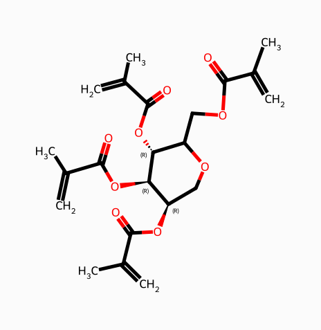 C=C(C)C(=O)OCC1OC[C@@H](OC(=O)C(=C)C)[C@@H](OC(=O)C(=C)C)[C@@H]1OC(=O)C(=C)C